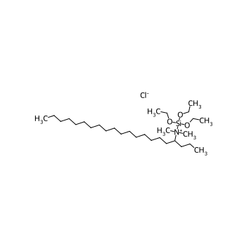 CCCCCCCCCCCCCCCCCC(CCC)[N+](C)(C)[Si](OCC)(OCC)OCC.[Cl-]